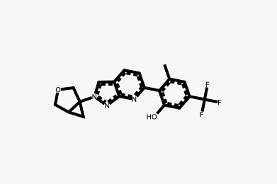 Cc1cc(C(F)(F)F)cc(O)c1-c1ccc2cn(C34COCC3C4)nc2n1